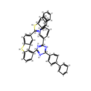 c1ccc(-c2ccc(-c3nc(-c4ccc(-c5ccccc5)cc4)nc(-c4cccc5sc6ccc(-c7nc8ccccc8s7)cc6c45)n3)cc2)cc1